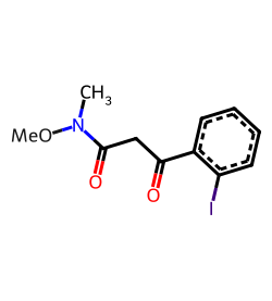 CON(C)C(=O)CC(=O)c1ccccc1I